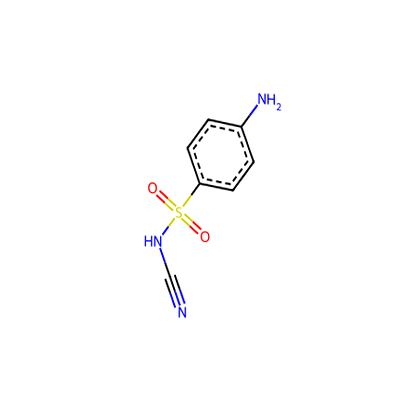 N#CNS(=O)(=O)c1ccc(N)cc1